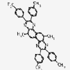 Cc1ccc(-c2nc3c(C)cc4c(cc(C)c5nc(-c6ccc(C(F)(F)F)cc6)c(-c6ccc(C)cc6)nc54)c3nc2-c2ccc(C(F)(F)F)cc2)cc1